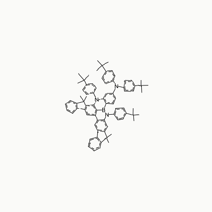 CC(C)(C)c1ccc(N2B3c4ccc(N(c5ccc(C(C)(C)C)cc5)c5ccc(C(C)(C)C)cc5)cc4N(c4ccc(C(C)(C)C)cc4)c4c3c(cc3c4C(C)(C)c4ccccc4-3)-c3cc4c(cc32)C(C)(C)c2ccccc2-4)cc1